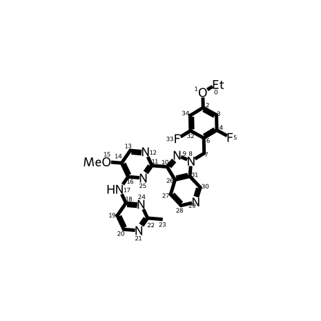 CCOc1cc(F)c(Cn2nc(-c3ncc(OC)c(Nc4ccnc(C)n4)n3)c3ccncc32)c(F)c1